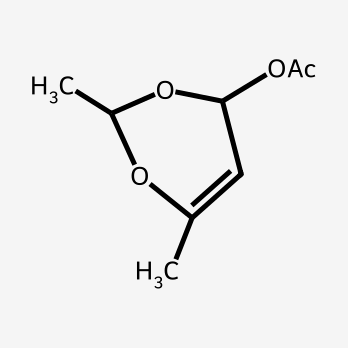 CC(=O)OC1C=C(C)OC(C)O1